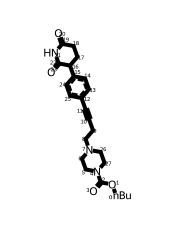 CCCCOC(=O)N1CCN(CCC#Cc2ccc(C3CCC(=O)NC3=O)cc2)CC1